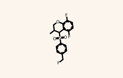 CC1COc2c(F)ccc(F)c2C1S(=O)(=O)c1ccc(CF)cc1